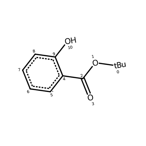 CC(C)(C)OC(=O)c1[c]cccc1O